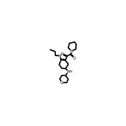 CCCn1nc(C(=O)N2CCCCC2)c2c1CCC(NC1CCOCC1)C2